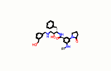 CCNc1cc(C(=O)N[C@@H](Cc2ccccc2)[C@@H](O)CNCc2cccc(CO)c2)cc(N2CCCC2=O)c1